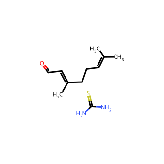 CC(C)=CCCC(C)=CC=O.NC(N)=S